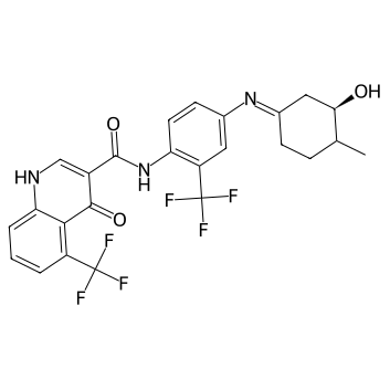 CC1CCC(=Nc2ccc(NC(=O)c3c[nH]c4cccc(C(F)(F)F)c4c3=O)c(C(F)(F)F)c2)C[C@H]1O